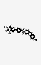 CCn1c(=O)c2[nH]c(-c3ccc(S(=O)(=O)N4CCN(Cc5ccc(C#N)cc5)CC4)cc3)cc2n(CC)c1=O